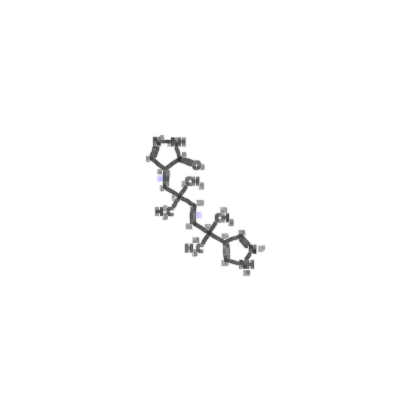 CC(C)(/C=C1/C=NNC1=O)/C=C/C(C)(C)c1cn[nH]c1